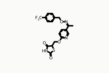 CC(=NOCc1ccc(C(F)(F)F)cc1)c1ccc(OCC2SC(=O)NC2=O)nc1